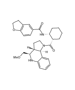 COC[C@@H]1Nc2ccccc2[C@H]2[C@H]1CCN2C(=O)[C@H]1CCCC[C@H]1NC(=O)c1ccc2c(c1)CCO2